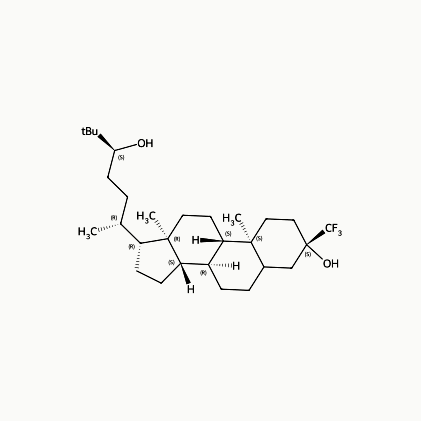 C[C@H](CC[C@H](O)C(C)(C)C)[C@H]1CC[C@H]2[C@@H]3CCC4C[C@](O)(C(F)(F)F)CC[C@]4(C)[C@H]3CC[C@]12C